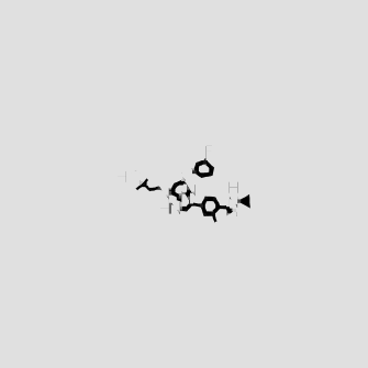 Cc1cc(-c2cnc3c(NCCC(C)(C)O)cc(Oc4cccc(F)c4)nn23)ccc1C(=O)NC1CC1